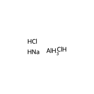 Cl.Cl.[AlH3].[NaH]